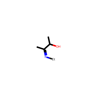 CCN=C(C)C(C)O